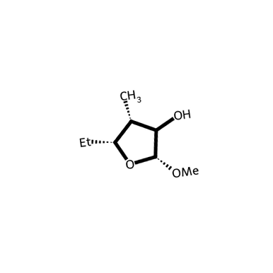 CC[C@H]1O[C@@H](OC)C(O)[C@H]1C